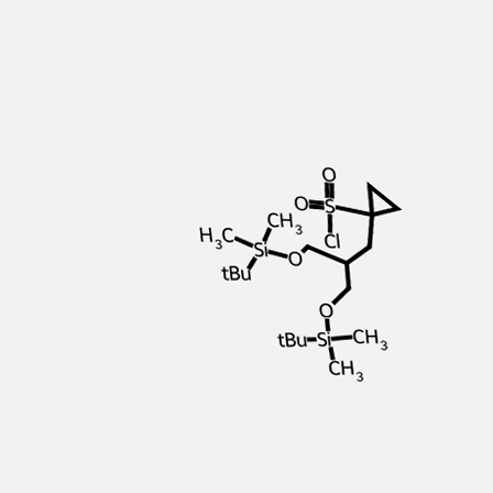 CC(C)(C)[Si](C)(C)OCC(CO[Si](C)(C)C(C)(C)C)CC1(S(=O)(=O)Cl)CC1